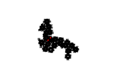 Cc1cc(C)cc(N(c2cc3sc4cc(N(c5cc(C)cc(C)c5)c5cccc6c5oc5cccc(C7CCCC(c8ccc(N(c9cc%10sc%11cc(N(c%12ccc(C%13CCCCC%13)cc%12)c%12cccc%13c%12oc%12ccccc%12%13)c%12ccccc%12c%11c%10c%10ccccc9%10)c9cccc%10c9oc9ccccc9%10)cc8)C7)c56)c5ccccc5c4c3c3ccccc23)c2cccc3c2oc2ccccc23)c1